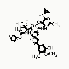 CCC[C@H](NC(=O)[C@@H]1C[C@]2(CC(c3cc(C)c(OC)c(C)c3)=NO2)CN1C(=O)[C@@H](NC(=O)O[C@H]1CCOC1)C(C)(C)C)C(=O)C(=O)NC1CC1